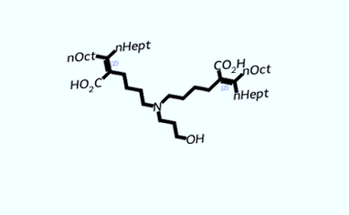 CCCCCCCC/C(CCCCCCC)=C(/CCCCN(CCCO)CCCC/C(C(=O)O)=C(\CCCCCCC)CCCCCCCC)C(=O)O